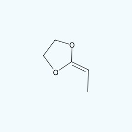 CC=C1OCCO1